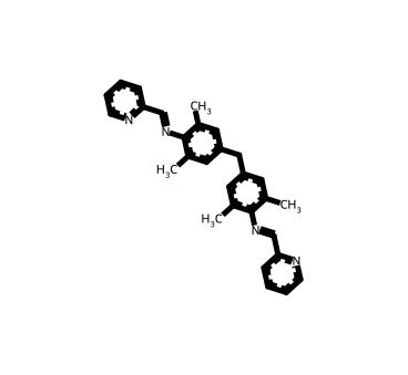 Cc1cc(Cc2cc(C)c(N=Cc3ccccn3)c(C)c2)cc(C)c1N=Cc1ccccn1